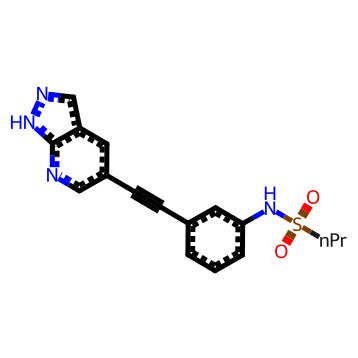 CCCS(=O)(=O)Nc1cccc(C#Cc2cnc3[nH]ncc3c2)c1